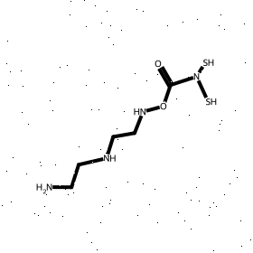 NCCNCCNOC(=O)N(S)S